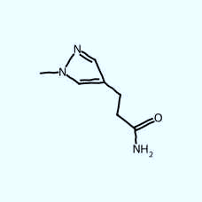 Cn1cc(CCC(N)=O)cn1